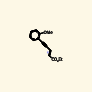 CCOC(=O)/C=C/C#Cc1ccccc1OC